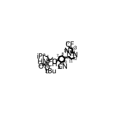 CC(C)CC(C)(COc1ccc(-c2ccnc3cc(C(F)(F)F)nn23)cc1C#N)NC(=O)OC(C)(C)C